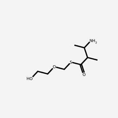 CC(N)C(C)C(=O)SCOCCO